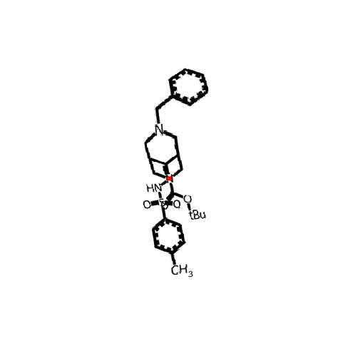 Cc1ccc(S(=O)(=O)NN=C2C3CN(Cc4ccccc4)CC2CN(C(=O)OC(C)(C)C)C3)cc1